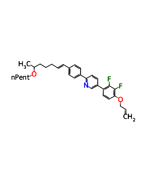 C=CCOc1ccc(-c2ccc(-c3ccc(/C=C/CCCC(C)OCCCCC)cc3)nc2)c(F)c1F